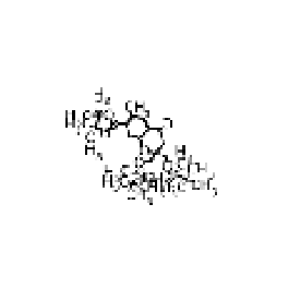 Cc1cc2c(cc1B1OC(C)(C)C(C)(C)O1)OC(CO[Si](C)(C)C(C)(C)C)(CO[Si](C)(C)C(C)(C)C)CC2=O